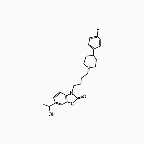 CC(O)c1ccc2c(c1)oc(=O)n2CCCCN1CCC(c2ccc(F)cc2)CC1